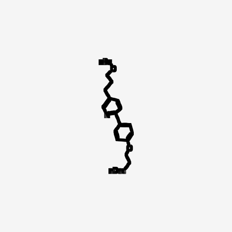 CCCCCCCCCCCCOc1ccc(-c2ccc(CCCOCCCC)cn2)cc1